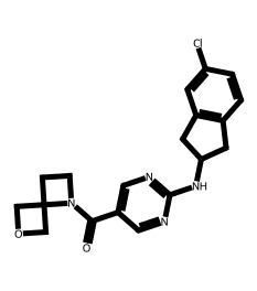 O=C(c1cnc(NC2Cc3ccc(Cl)cc3C2)nc1)N1CCC12COC2